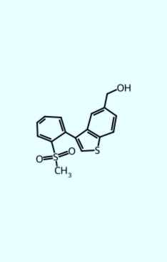 CS(=O)(=O)c1ccccc1-c1csc2ccc(CO)cc12